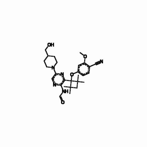 COc1cc(OC2(c3nc(N4CCC(CO)CC4)cnc3NC=O)C(C)(C)CC2(C)C)ccc1C#N